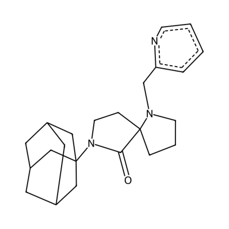 O=C1N(C23CC4CC(CC(C4)C2)C3)CCC12CCCN2Cc1ccccn1